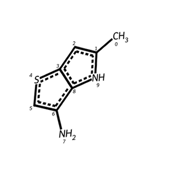 Cc1cc2scc(N)c2[nH]1